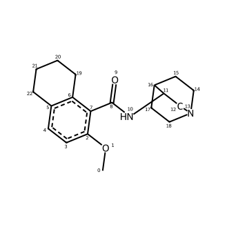 COc1ccc2c(c1C(=O)NC1CN3CCC1CC3)CCCC2